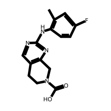 Cc1cc(F)ccc1Nc1ncc2c(n1)CN(C(=O)O)CC2